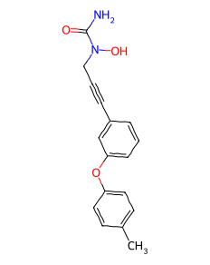 Cc1ccc(Oc2cccc(C#CCN(O)C(N)=O)c2)cc1